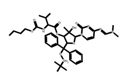 CCCCOC(=O)NC(C(=O)OC1C(C(O[SiH2]C(C)(C)C)(c2ccccc2)c2ccccc2)OC(n2ccc(N=CN(C)C)nc2=O)C1(C)O)C(C)C